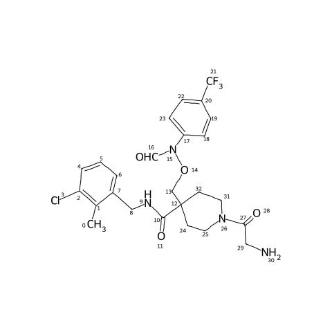 Cc1c(Cl)cccc1CNC(=O)C1(CON(C=O)c2ccc(C(F)(F)F)cc2)CCN(C(=O)CN)CC1